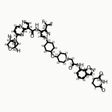 O=C1CC[C@H](c2noc3c(NC(=O)CN4CCC(OC5CCC(n6cc(NC(=O)c7cnn8ccc(N9C[C@H]%10C[C@@H]9CO%10)nc78)c(C(F)F)n6)CC5)CC4)cccc23)C(=O)N1